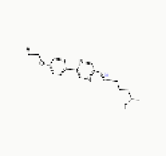 C=CCOc1ccc(-c2cnc(/C=C/CCCC(C)F)cn2)cc1